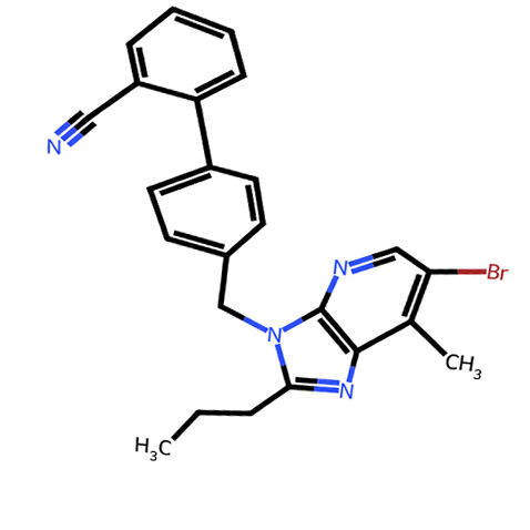 CCCc1nc2c(C)c(Br)cnc2n1Cc1ccc(-c2ccccc2C#N)cc1